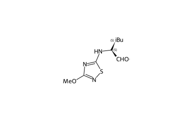 CC[C@H](C)[C@@H]([C]=O)Nc1nc(OC)ns1